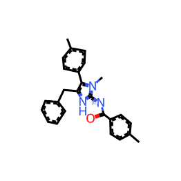 Cc1ccc(C(=O)/N=c2\[nH]c(Cc3ccccc3)c(-c3ccc(C)cc3)n2C)cc1